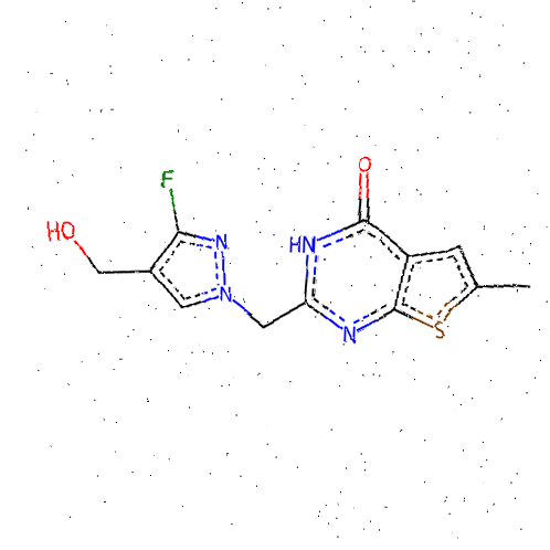 Cc1cc2c(=O)[nH]c(Cn3cc(CO)c(F)n3)nc2s1